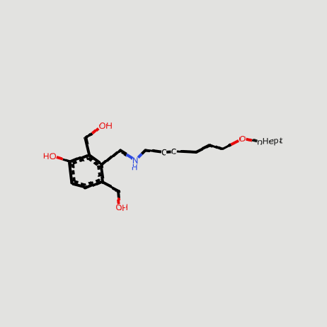 CCCCCCCOCCCCCCNCc1c(CO)ccc(O)c1CO